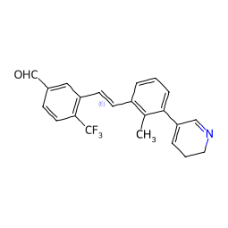 Cc1c(/C=C/c2cc(C=O)ccc2C(F)(F)F)cccc1C1=CCCN=C1